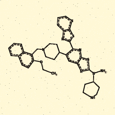 CCOc1ccc2ccccc2c1CN1CCC(c2cc3nc(N(N)C4CCNCC4)sc3nc2-c2nc3cccnc3s2)CC1